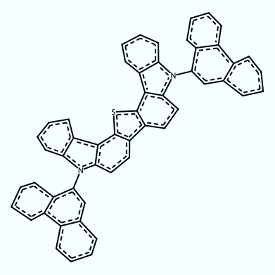 c1ccc2c(c1)cc(-n1c3ccccc3c3c4sc5c(ccc6c5c5ccccc5n6-c5cc6ccccc6c6ccccc56)c4ccc31)c1ccccc12